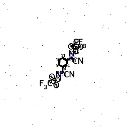 N#C/C(=N\OS(=O)(=O)C(F)(F)F)c1cccc(/C(C#N)=N/OS(=O)(=O)C(F)(F)F)c1